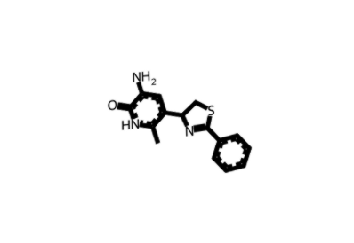 Cc1[nH]c(=O)c(N)cc1C1CSC(c2ccccc2)=N1